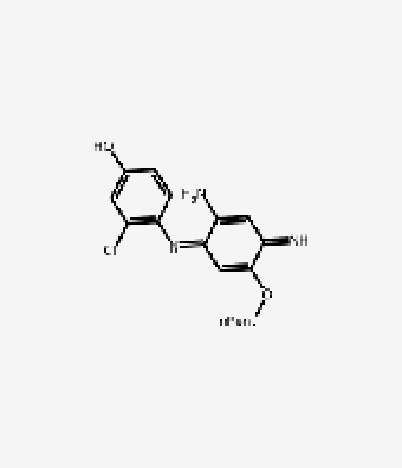 CCCCCOC1=CC(=Nc2ccc(O)cc2Cl)C(N)=CC1=N